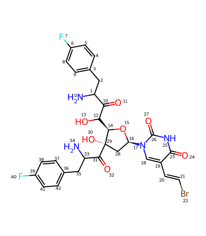 NC(Cc1ccc(F)cc1)C(=O)C(O)[C@H]1O[C@@H](n2cc(/C=C/Br)c(=O)[nH]c2=O)C[C@@]1(O)C(=O)C(N)Cc1ccc(F)cc1